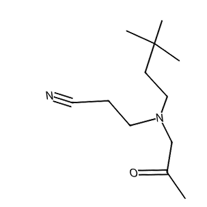 CC(=O)CN(CCC#N)CCC(C)(C)C